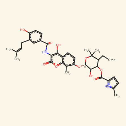 COCC1C(OC(=O)c2ccc(C)[nH]2)C(O)[C@H](Oc2ccc3c(O)c(NC(=O)c4ccc(O)c(CC=C(C)C)c4)c(=O)oc3c2C)OC1(C)C